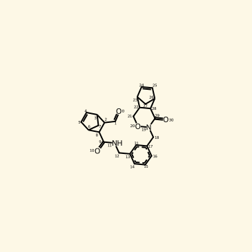 O=CC1C2C=CC(C2)C1C(=O)NCc1cccc(CN2OCC3C4C=CC(C4)C3C2=O)c1